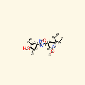 CCc1cc(-c2noc(-c3cc(OC)nc(C(CC)CC)c3)n2)cc(C)c1O